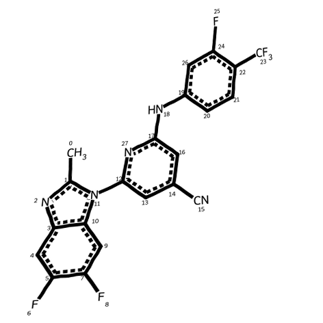 Cc1nc2cc(F)c(F)cc2n1-c1cc(C#N)cc(Nc2ccc(C(F)(F)F)c(F)c2)n1